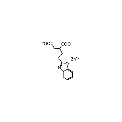 O=C([O-])CC(CSc1nc2ccccc2o1)C(=O)[O-].[Zn+2]